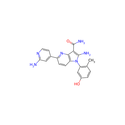 Cc1ccc(O)cc1-n1c(N)c(C(N)=O)c2nc(-c3ccnc(N)c3)ccc21